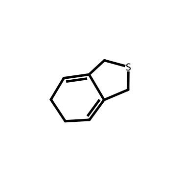 C1=C2CSCC2=CCC1